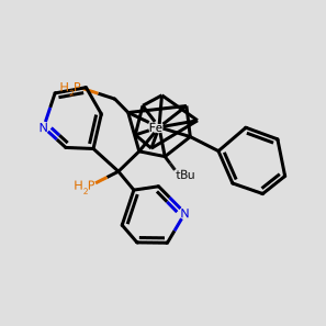 CC(C)(C)[C]12[C]3(c4ccccc4)[CH]4[C]5(CP)[C]1(C(P)(c1cccnc1)c1cccnc1)[Fe]45321678[CH]2[CH]1[CH]6[CH]7[CH]28